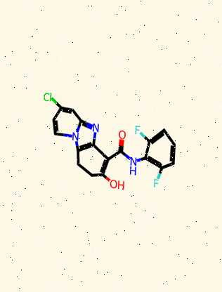 O=C(Nc1c(F)cccc1F)C1=C(O)CCc2c1nc1cc(Cl)ccn21